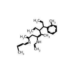 C=CN/C(CC(=C)/N=C\C=C/C)=C(\C)C(C=C)C(C=C)c1ccccc1C